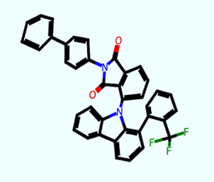 O=C1c2cccc(-n3c4ccccc4c4cccc(-c5ccccc5C(F)(F)F)c43)c2C(=O)N1c1ccc(-c2ccccc2)cc1